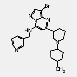 CC1CCC(N2CCCC(c3cc(NCc4cccnc4)n4ncc(Br)c4n3)C2)CC1